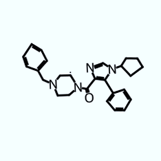 O=C(c1ncn(C2CCCC2)c1-c1ccccc1)N1[CH]CN(Cc2ccccc2)CC1